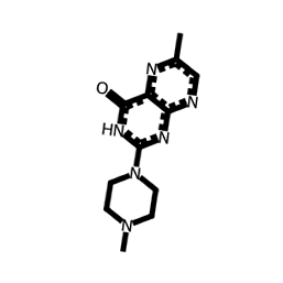 Cc1cnc2nc(N3CCN(C)CC3)[nH]c(=O)c2n1